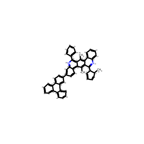 Cc1c2c(C3C=CC=CC3C)nc3ccccc3c2c(C)c2c(-c3ccccc3)nc3cc(-c4ccc5c6ccccc6c6ccccc6c5c4)ccc3c12